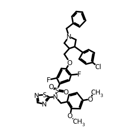 COc1ccc(CN(c2ncns2)S(=O)(=O)c2cc(F)c(OCC3CN(Cc4ccccc4)CC3c3ccc(Cl)cc3)cc2F)c(OC)c1